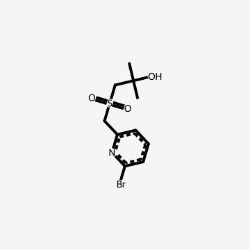 CC(C)(O)CS(=O)(=O)Cc1cccc(Br)n1